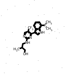 CC(CO)CNc1ncc(C(F)(F)F)c(-c2c[nH]c3c(P(C)C)cccc23)n1